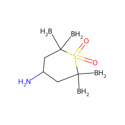 BC1(B)CC(N)CC(B)(B)S1(=O)=O